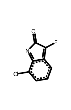 O=C1N=c2c(Cl)cccc2=C1F